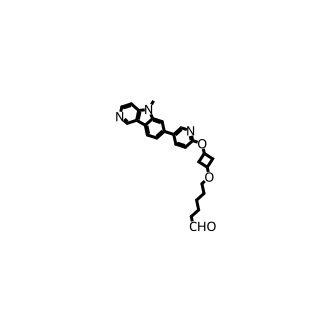 Cn1c2ccncc2c2ccc(-c3ccc(OC4CC(OCCCCCC=O)C4)nc3)cc21